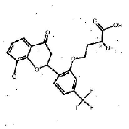 N[C@@H](CCOc1cc(C(F)(F)F)ccc1C1CC(=O)c2cccc(Cl)c2O1)C(=O)O